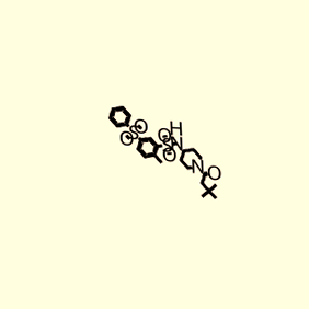 Cc1ccc(S(=O)(=O)c2ccccc2)cc1S(=O)(=O)NC1CCN(C(=O)CC(C)(C)C)CC1